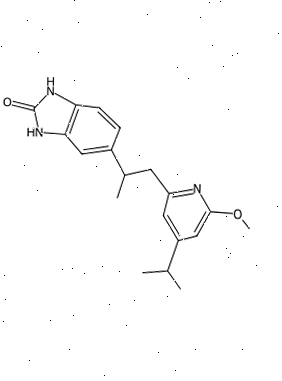 COc1cc(C(C)C)cc(CC(C)c2ccc3[nH]c(=O)[nH]c3c2)n1